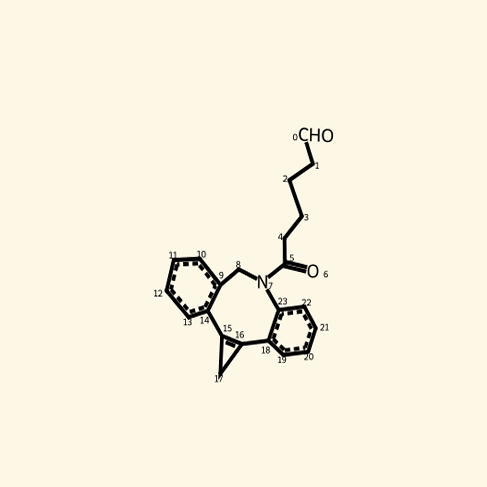 O=CCCCCC(=O)N1Cc2ccccc2C2=C(C2)c2ccccc21